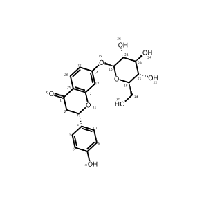 O=C1C[C@@H](c2ccc(O)cc2)Oc2cc(O[C@@H]3O[C@H](CO)[C@@H](O)[C@H](O)[C@H]3O)ccc21